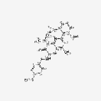 CCSc1ccc(CNc2nc3c(C)nc(-c4c(OC)ncnc4C4CC4)nc3n([C@@H](C)C(F)(F)F)c2=O)nc1